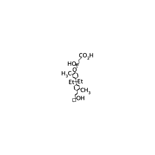 CCC(CC)(c1ccc(C=CC2(O)CCC2)c(C)c1)c1ccc(OC[C@H](O)CCCC(=O)O)c(C)c1